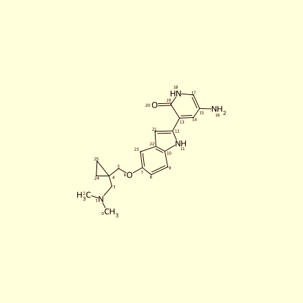 CN(C)CC1(COc2ccc3[nH]c(-c4cc(N)c[nH]c4=O)cc3c2)CC1